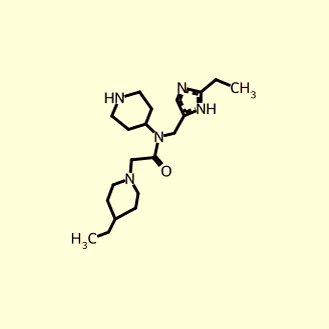 CCc1ncc(CN(C(=O)CN2CCC(CC)CC2)C2CCNCC2)[nH]1